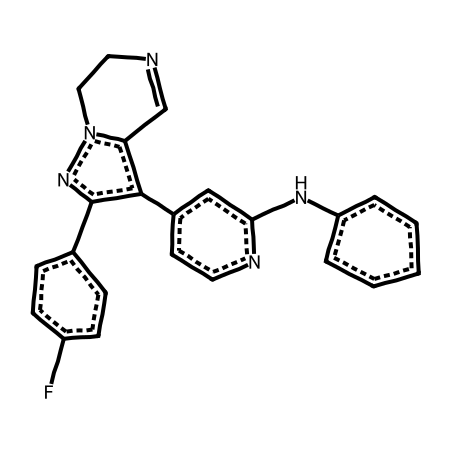 Fc1ccc(-c2nn3c(c2-c2ccnc(Nc4ccccc4)c2)C=NCC3)cc1